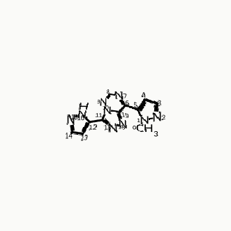 Cn1nccc1-c1ncnn2c(-c3ccn[nH]3)nnc12